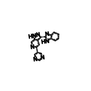 c1ccc2[nH]c(-c3n[nH]c4cnc(-c5cncnc5)cc34)nc2c1